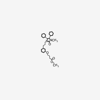 CCOC(=O)CCCOc1cccc(CCCn2c(-c3ccccc3)c(-c3ccccc3)n(C)c2=O)c1